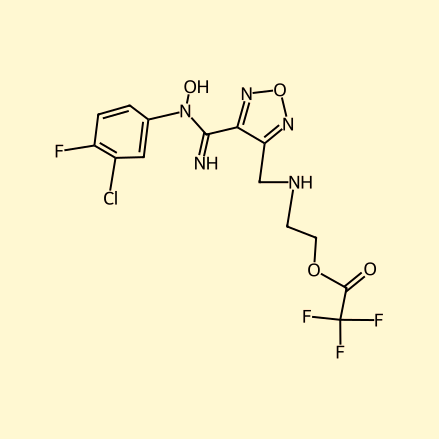 N=C(c1nonc1CNCCOC(=O)C(F)(F)F)N(O)c1ccc(F)c(Cl)c1